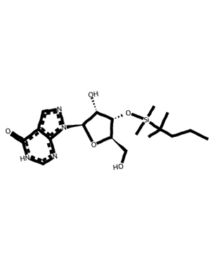 CCCC(C)(C)[Si](C)(C)O[C@H]1[C@@H](O)[C@H](n2ncc3c(=O)[nH]cnc32)O[C@@H]1CO